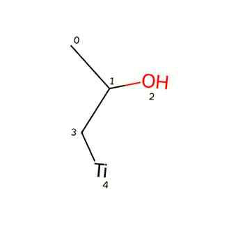 CC(O)[CH2][Ti]